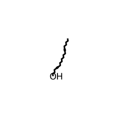 CCCCCC#CCCCCCCCC#CCCCO